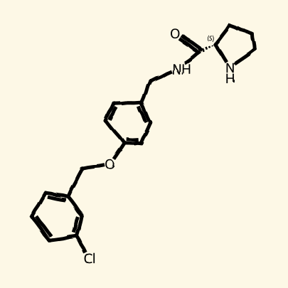 O=C(NCc1ccc(OCc2cccc(Cl)c2)cc1)[C@@H]1CCCN1